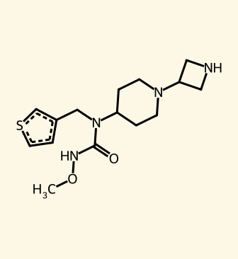 CONC(=O)N(Cc1ccsc1)C1CCN(C2CNC2)CC1